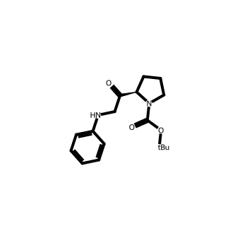 CC(C)(C)OC(=O)N1CCC[C@@H]1C(=O)CNc1ccccc1